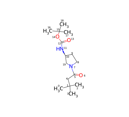 CC(C)(C)CC(=O)N1CC[C@H](NC(=O)OC(C)(C)C)C1